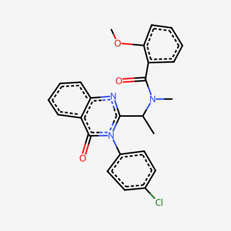 COc1ccccc1C(=O)N(C)C(C)c1nc2ccccc2c(=O)n1-c1ccc(Cl)cc1